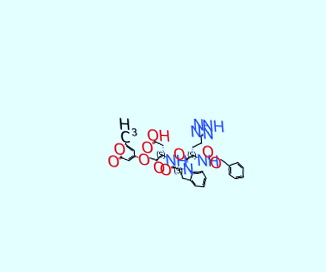 Cc1cc(OCC(=O)[C@H](CC(=O)O)NC(=O)[C@@H]2Cc3ccccc3N2C(=O)[C@H](CCc2nn[nH]n2)NC(=O)OCc2ccccc2)cc(=O)o1